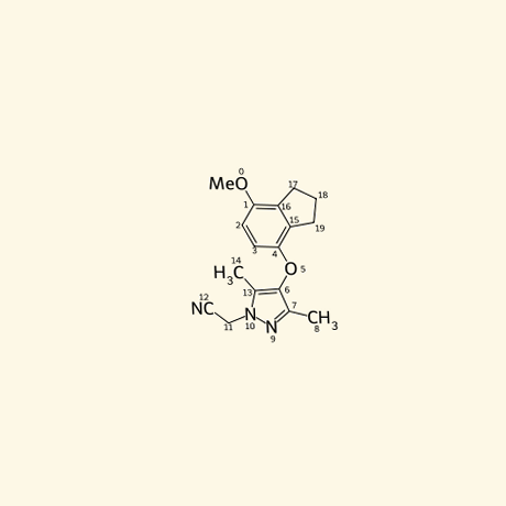 COc1ccc(Oc2c(C)nn(CC#N)c2C)c2c1CCC2